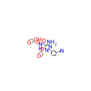 N#Cc1cccc(-c2nc(N)c(C(=O)NOC[C@]3(O)CCOC3)c(O[C@H]3CCOC3)n2)c1